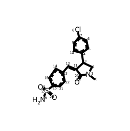 CN1CC(c2ccc(Cl)cc2)/C(=C/c2ccc(S(N)(=O)=O)cc2)C1=O